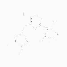 COc1cc(Oc2nc(N3C(=O)NC(C)(C)C3=O)ccc2F)ccc1Cl